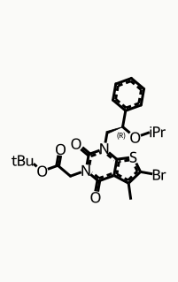 Cc1c(Br)sc2c1c(=O)n(CC(=O)OC(C)(C)C)c(=O)n2C[C@H](OC(C)C)c1ccccc1